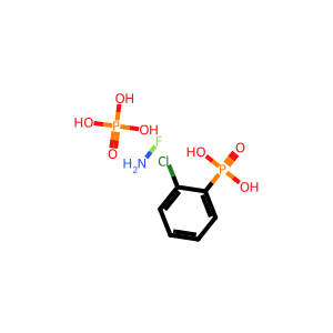 NF.O=P(O)(O)O.O=P(O)(O)c1ccccc1Cl